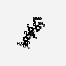 CNCCOc1c(N)ncnc1-c1cc(F)cc(NC(=O)c2ccc3c(c2F)OCC3(C)C)c1C